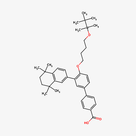 CC1(C)CCC(C)(C)c2cc(-c3cc(-c4ccc(C(=O)O)cc4)ccc3OCCCCO[Si](C)(C)C(C)(C)C)ccc21